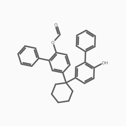 O=COc1ccc(C2(c3ccc(O)c(-c4ccccc4)c3)CCCCC2)cc1-c1ccccc1